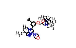 CNCC(COc1cc(-c2cc(N3CCOCC3)n3ncc(C(C)C)c3n2)cc(C2CC2)c1)O[Si](C)(C)C(C)(C)C